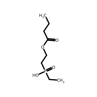 CCCC(=O)OCCP(=O)(O)CC